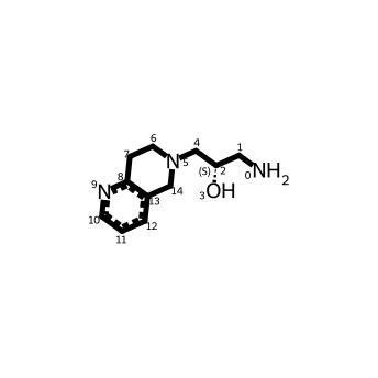 NC[C@H](O)CN1CCc2ncccc2C1